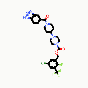 O=C(OCc1cc(Cl)cc(C(F)(F)F)c1F)N1CCN(C2CCN(C(=O)c3ccc4[nH]nnc4c3)CC2)CC1